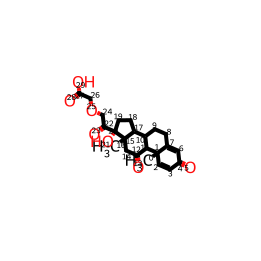 CC12C=CC(=O)C=C1CCC1C2C(=O)CC2(C)C1CCC2(O)C(=O)COCC(=O)O